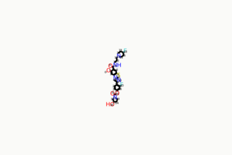 COc1cc2c(cc1C(=O)NCCCN1CCC(F)CC1)sc1nc(-c3ccc(OC(=O)N4CCC(O)C4)cc3F)cn12